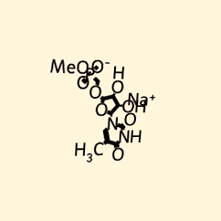 COP(=O)([O-])COC1O[C@@H](n2cc(C)c(=O)[nH]c2=O)[C@H](O)[C@@H]1O.[Na+]